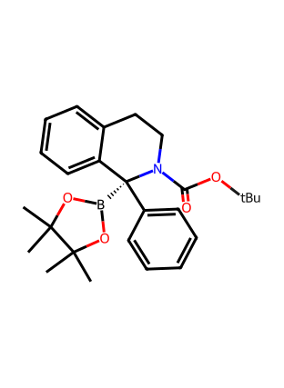 CC(C)(C)OC(=O)N1CCc2ccccc2[C@]1(B1OC(C)(C)C(C)(C)O1)c1ccccc1